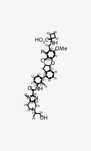 COc1cc(OC2CCc3c(-c4cccc(NC(=O)c5nc6c(n5C)CCN(C(C)CO)C6)c4C)cccc32)c(Cl)c(F)c1CNC1(C(=O)O)CCC1